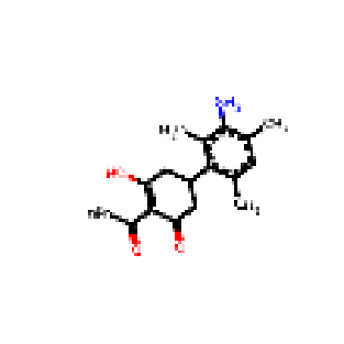 CCCC(=O)C1=C(O)CC(c2c(C)cc(C)c(N)c2C)CC1=O